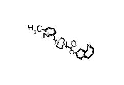 Cc1cccc(CN2CCN(C(=O)Oc3ccc4cccnc4c3)CC2)n1